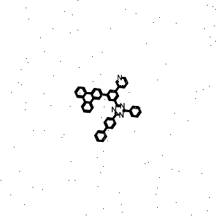 c1ccc(-c2ccc(-c3nc(-c4ccccc4)nc(-c4cc(-c5cccnc5)cc(-c5ccc6c7ccccc7c7ccccc7c6c5)c4)n3)cc2)cc1